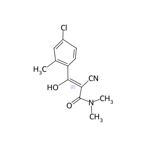 Cc1cc(Cl)ccc1/C(O)=C(\C#N)C(=O)N(C)C